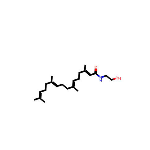 CC(C)=CCCC(C)=CCCC(C)=CCCC(C)=CC(=O)NCCO